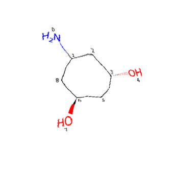 NC1C[C@H](O)C[C@@H](O)C1